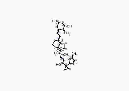 C=C1/C(=C\C=C2/CCC[C@]3(C)[C@@H](C(C)(C)/C=C/[C@H](O)C4(c5nc(C)cs5)CC4)CC[C@@H]23)C[C@@H](O)C[C@@H]1O